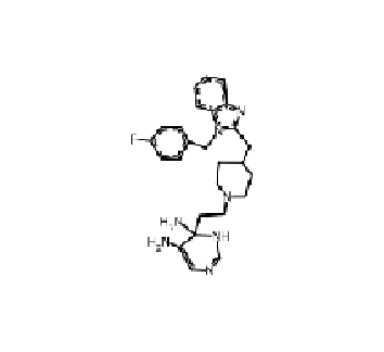 NC1=CN=CNC1(N)CCN1CCC(Cc2nc3ccccc3n2Cc2ccc(F)cc2)CC1